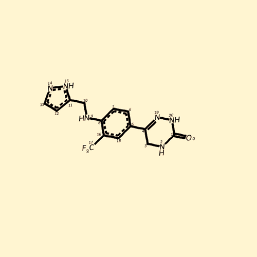 O=C1NCC(c2ccc(NCc3ccn[nH]3)c(C(F)(F)F)c2)=NN1